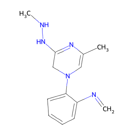 C=Nc1ccccc1N1C=C(C)N=C(NNC)C1